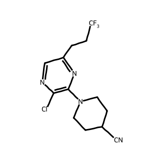 N#CC1CCN(c2nc(CCC(F)(F)F)cnc2Cl)CC1